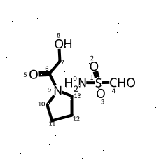 NS(=O)(=O)C=O.O=C(CO)N1CCCC1